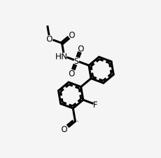 COC(=O)NS(=O)(=O)c1ccccc1-c1cccc([C]=O)c1F